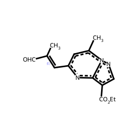 CCOC(=O)c1cnn2c(C)cc(/C=C(\C)C=O)nc12